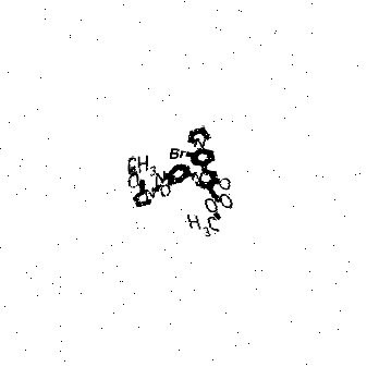 CCOC(=O)c1cn(-c2ccc3nc(N4CCCC4COC)oc3c2)c(-c2ccc(N3CCCC3)c(Br)c2)cc1=O